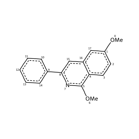 COc1ccc2c(OC)nc(-c3ccccc3)cc2c1